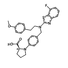 COc1ccc(CCN(Cc2ccc(N3CCC[C@H]3C(=O)O)cc2)c2nc3cccc(F)c3s2)cc1